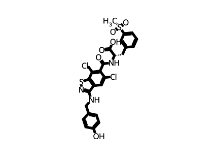 CS(=O)(=O)c1cccc(C[C@H](NC(=O)c2c(Cl)cc3c(NCc4ccc(O)cc4)nsc3c2Cl)C(=O)O)c1